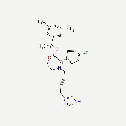 C[C@@H](O[C@H]1OCCN(CC#CCc2c[nH]cn2)[C@H]1c1ccc(F)cc1)c1cc(C(F)(F)F)cc(C(F)(F)F)c1